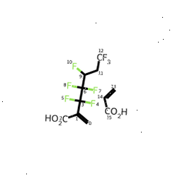 C=C(C(=O)O)C(F)(F)C(F)(F)C(F)CC(F)(F)F.C=CC(=O)O